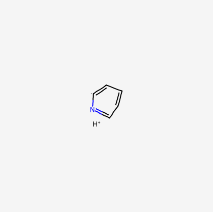 [H+].[c]1ccccn1